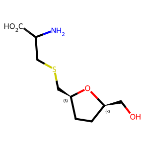 NC(CSC[C@@H]1CC[C@H](CO)O1)C(=O)O